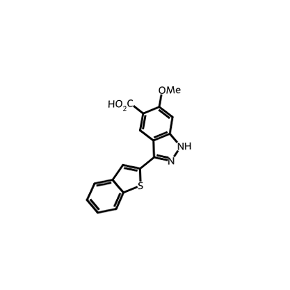 COc1cc2[nH]nc(-c3cc4ccccc4s3)c2cc1C(=O)O